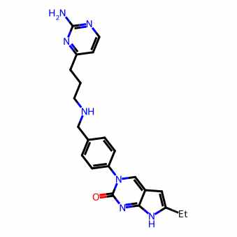 CCc1cc2cn(-c3ccc(CNCCCc4ccnc(N)n4)cc3)c(=O)nc2[nH]1